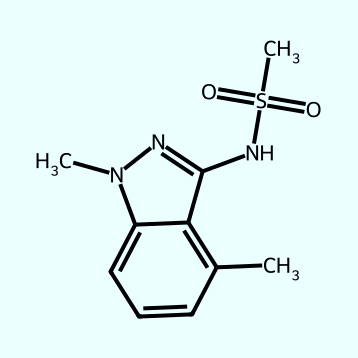 Cc1cccc2c1c(NS(C)(=O)=O)nn2C